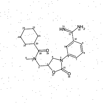 CN(CC1CN(c2cccc(C(=N)N)c2)C(=O)O1)C(=O)C1CCCCC1